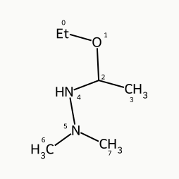 CCOC(C)NN(C)C